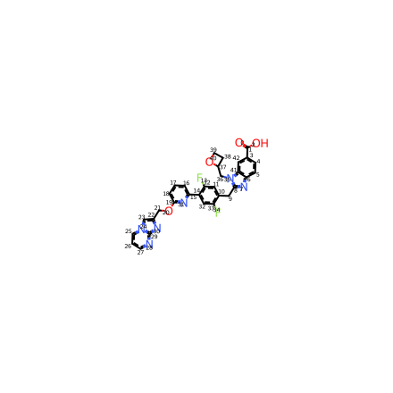 O=C(O)c1ccc2nc(Cc3cc(F)c(-c4cccc(OCc5cn6cccnc6n5)n4)cc3F)n(CC3CCO3)c2c1